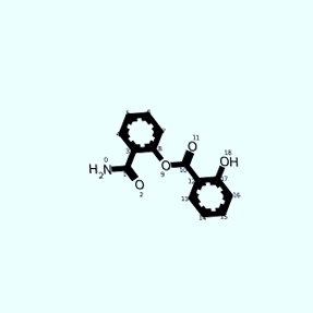 NC(=O)c1ccccc1OC(=O)c1ccccc1O